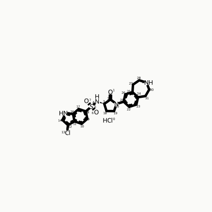 Cl.O=C1[C@@H](NS(=O)(=O)c2ccc3c(Cl)c[nH]c3c2)CCN1c1ccc2c(c1)CCNCC2